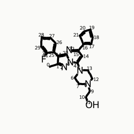 Cc1nn2c(N3CCN(CCO)CC3)cc(-c3ccccc3)nc2c1-c1ccccc1F